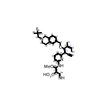 C#C/C(=C(OCc1ccc2c(c1)CCN(CC(C)(C)F)C2)\C(C)=C/C)c1cccc(N/C(OC)=C(\C=N)C(=O)O)n1